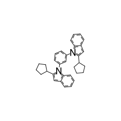 c1cc(-n2c(C3CCCC3)cc3ccccc32)cc(-n2c(C3CCCC3)cc3ccccc32)c1